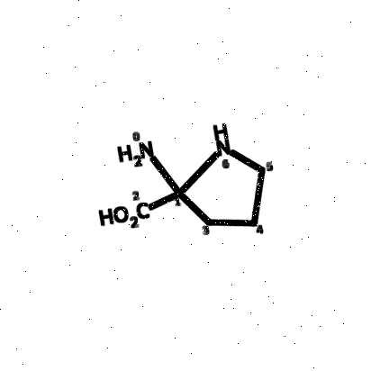 NC1(C(=O)O)CCCN1